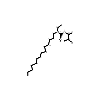 CCCCCCCCCCCCCCN(CC)C(=O)OC(C)C(C)C